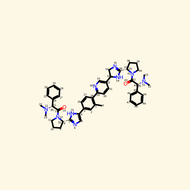 Cc1cc(-c2cnc([C@@H]3CCCN3C(=O)[C@@H](c3ccccc3)N(C)C)[nH]2)ccc1-c1ccc(C2CN=C([C@@H]3CCCN3C(=O)[C@@H](c3ccccc3)N(C)C)N2)cn1